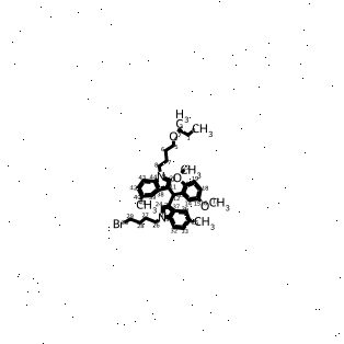 CCC(C)OCCCCn1cc(C(c2cc(OC)ccc2OC)c2cn(CCCCBr)c3ccc(C)cc23)c2cc(C)ccc21